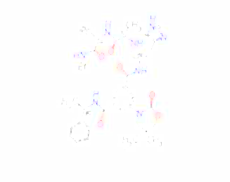 CCNC(=O)[C@@H](NC(=O)[C@H](C)NC[C@H](Cc1c[nH]cn1)NC(=O)c1cc(C(=O)N[C@H](C)c2ccccc2)cc(N2CC(C)(C)COC2=O)c1)C(C)C